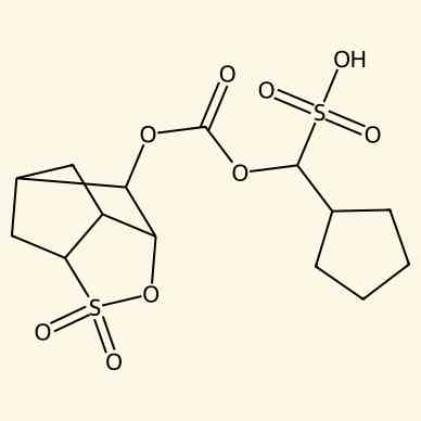 O=C(OC1C2CC3C1OS(=O)(=O)C3C2)OC(C1CCCC1)S(=O)(=O)O